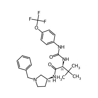 CC(C)(C)[C@H](NC(=O)Nc1ccc(OC(F)(F)F)cc1)C(=O)N[C@H]1CCN(Cc2ccccc2)C1